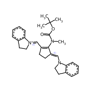 CN(C(=O)OC(C)(C)C)C1=C(/C=[N+]2\CCc3ccccc32)CC/C1=C\N1CCc2ccccc21